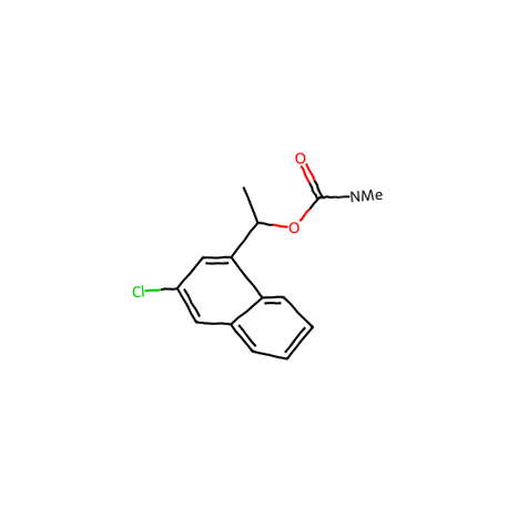 CNC(=O)OC(C)c1cc(Cl)cc2ccccc12